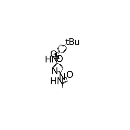 Cc1cc(=O)n(-c2ccc(NS(=O)(=O)c3ccc(C(C)(C)C)cc3)cn2)[nH]1